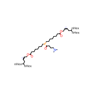 CCCCCCC(C/C=C\COC(=O)CCCCCCCP(CCCCCCCC(=O)OC/C=C\CC(CCCCCC)CCCCCC)C(=O)CCCN(C)C)CCCCCC